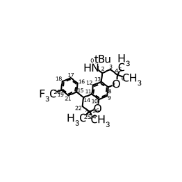 CC(C)(C)NC1CC(C)(C)Oc2cc3c(cc21)C(c1cccc(C(F)(F)F)c1)CC(C)(C)O3